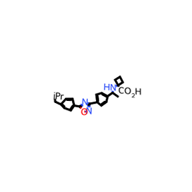 CC(C)Cc1ccc(-c2nc(-c3ccc(C(C)NC4(C(=O)O)CCC4)cc3)no2)cc1